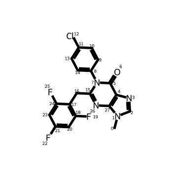 Cn1cnc2c(=O)n(-c3ccc(Cl)cc3)c(Cc3c(F)cc(F)cc3F)nc21